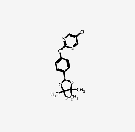 CC1(C)OB(c2ccc(Oc3ncc(Cl)cn3)cc2)OC1(C)C